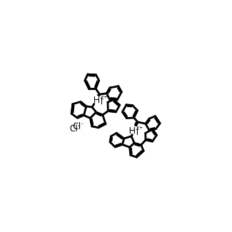 C1=CCC(c2cccc3c2[CH]([Hf+]=[C](c2ccccc2)c2ccccc2)c2ccccc2-3)=C1.C1=CCC(c2cccc3c2[CH]([Hf+]=[C](c2ccccc2)c2ccccc2)c2ccccc2-3)=C1.[Cl-].[Cl-]